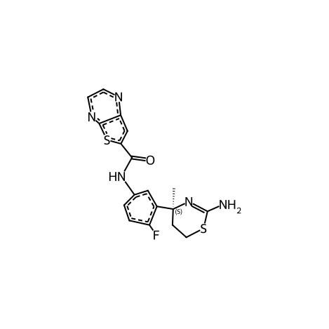 C[C@@]1(c2cc(NC(=O)c3cc4nccnc4s3)ccc2F)CCSC(N)=N1